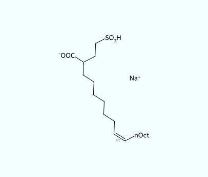 CCCCCCCC/C=C\CCCCCCC(CCS(=O)(=O)O)C(=O)[O-].[Na+]